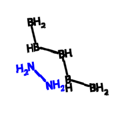 BBBBB.NN